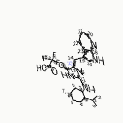 CC(C)[C@H]1CC[C@H](C)C[C@@H]1NC1=N/C(=C\c2c[nH]c3ncccc23)C(=O)N1.O=C(O)C(F)(F)F